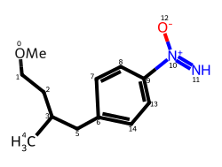 COCCC(C)Cc1ccc([N+](=N)[O-])cc1